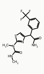 CNC(=O)N(C)c1nc(C(C(N)=O)c2cccc(C(F)(F)F)c2)cs1